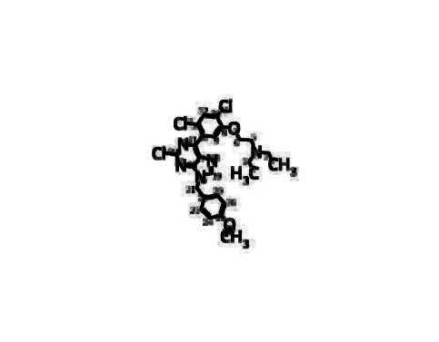 CCN(CC)CCOc1cc(-c2nc(Cl)nc3c2ncn3Cc2ccc(OC)cc2)c(Cl)cc1Cl